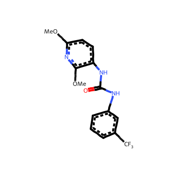 COc1ccc(NC(=O)Nc2cccc(C(F)(F)F)c2)c(OC)n1